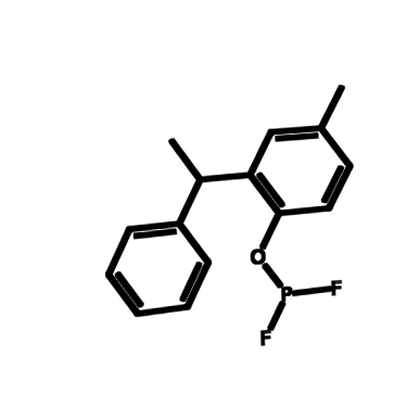 Cc1ccc(OP(F)F)c(C(C)c2ccccc2)c1